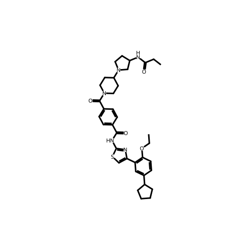 CCOc1ccc(C2CCCC2)cc1-c1csc(NC(=O)c2ccc(C(=O)N3CCC(N4CCC(NC(=O)CC)C4)CC3)cc2)n1